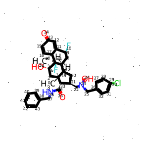 C[C@]12C[C@H](O)[C@@]3(F)[C@@H](C[C@H](F)C4=CC(=O)C=C[C@@]43C)[C@@H]1C[C@@H](CN(O)Cc1ccc(Cl)cc1)[C@@H]2C(=O)NCc1ccccc1